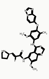 COc1cc2ncnc(Nc3cc(C)c(Oc4ccn5ncnc5c4)cc3OC)c2cc1NC(=O)/C(F)=C/[C@H]1CCCN1